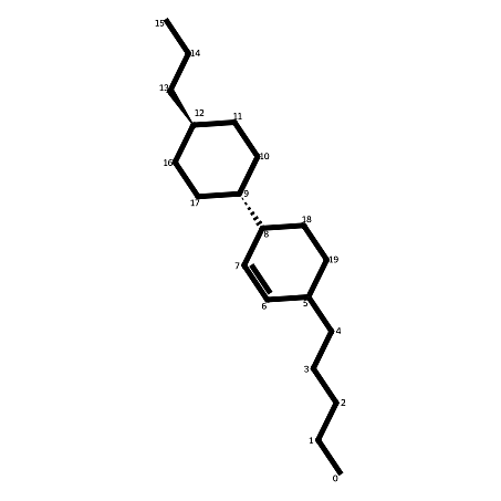 CCCCCC1C=CC([C@H]2CC[C@H](CCC)CC2)CC1